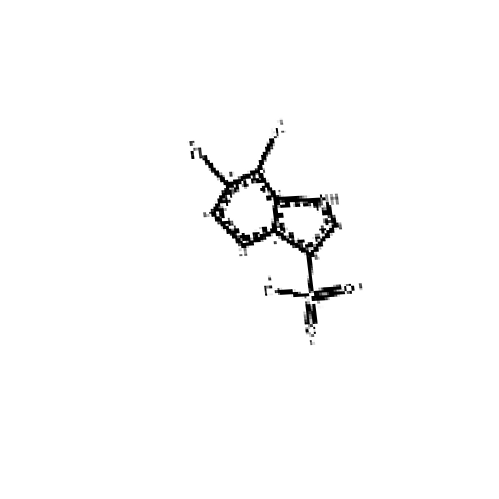 O=S(=O)(Cl)c1c[nH]c2c(Br)c(Cl)ccc12